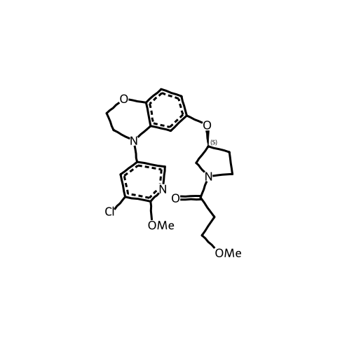 COCCC(=O)N1CC[C@H](Oc2ccc3c(c2)N(c2cnc(OC)c(Cl)c2)CCO3)C1